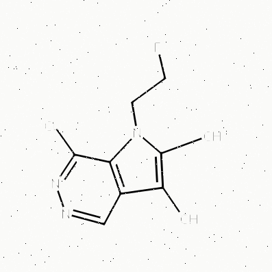 Cc1c(C)n(CCF)c2c(Cl)nncc12